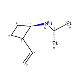 C=CC1CC[C@H]1NC(CC)CC